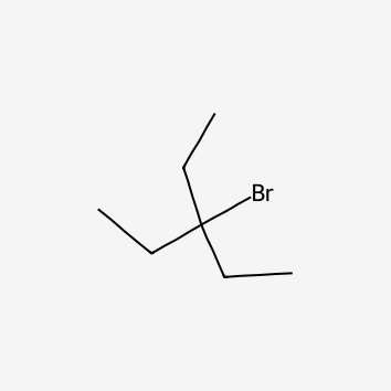 CCC(Br)(CC)CC